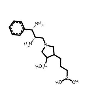 N[C@@H](CN1CC(CCCB(O)O)C(C(=O)O)C1)[C@@H](N)c1ccccc1